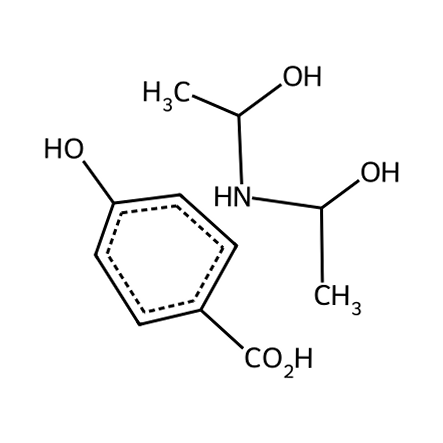 CC(O)NC(C)O.O=C(O)c1ccc(O)cc1